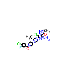 CC[C@H]1CN(c2nc(N)c(C(=O)NC)nc2Cl)CCN1C1CCN(C(=O)c2ccc(Cl)c(F)c2)CC1